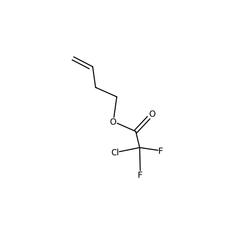 C=CCCOC(=O)C(F)(F)Cl